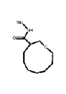 CC(C)(C)NC(=O)C1CCCCCCCCC1